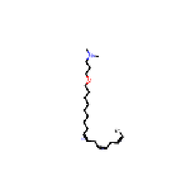 CC/C=C\C/C=C\C/C=C\CCCCCCCCOCCCN(C)C